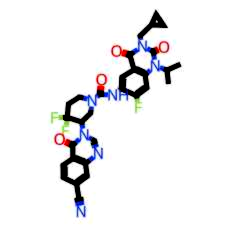 CC(C)n1c(=O)n(CC2CC2)c(=O)c2cc(NC(=O)N3CCC(F)(F)C(n4cnc5cc(C#N)ccc5c4=O)C3)c(F)cc21